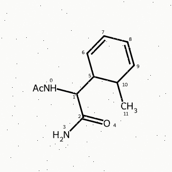 CC(=O)NC(C(N)=O)C1C=CC=CC1C